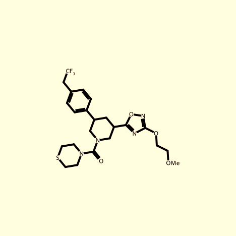 COCCOc1noc(C2CC(c3ccc(CC(F)(F)F)cc3)CN(C(=O)N3CCSCC3)C2)n1